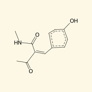 CNC(=O)C(=Cc1ccc(O)cc1)C(C)=O